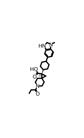 CCC(=O)N1CCC2(CC1)C[C@]2(C(=O)O)C1CCC(c2ccc3c(c2)NCN3C)CC1